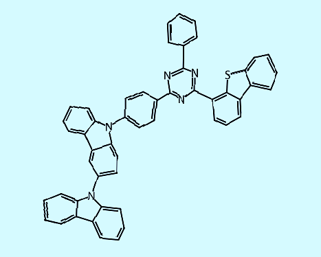 c1ccc(-c2nc(-c3ccc(-n4c5ccccc5c5cc(-n6c7ccccc7c7ccccc76)ccc54)cc3)nc(-c3cccc4c3sc3ccccc34)n2)cc1